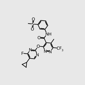 Cc1c(C(F)(F)F)nnc(Oc2ncc(C3CC3)c(F)n2)c1C(=O)Nc1cccc(S(C)(=O)=O)c1